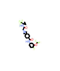 O=C(CN1CC2(CCC(C(=O)Nc3ccc(F)c(OC(F)F)c3)CC2)C1)NC1(C(F)(F)F)CC1